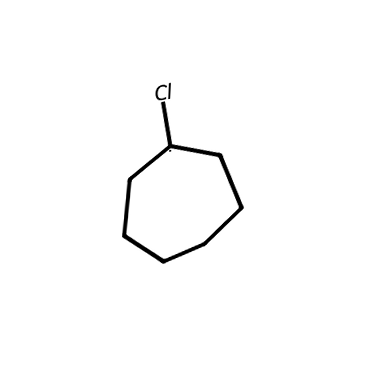 Cl[C]1CCCCCC1